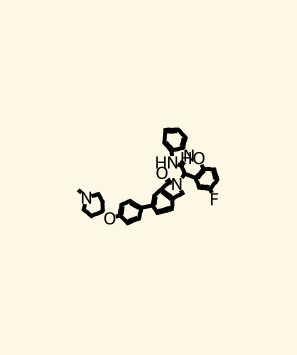 CN1CCC(Oc2ccc(-c3ccc4c(c3)C(=O)N(C(c3nc5ccccc5[nH]3)c3cc(F)ccc3O)C4)cc2)CC1